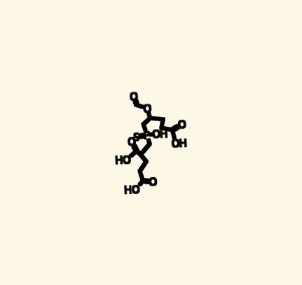 O=COC(CCC(=O)O)CP(O)(=S)CC(CCC(=O)O)C(=O)O